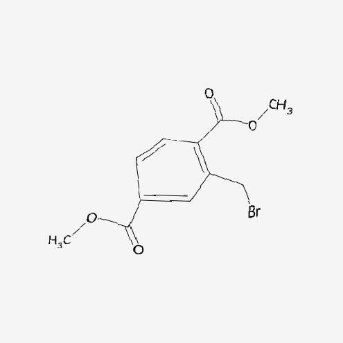 COC(=O)c1ccc(C(=O)OC)c(CBr)c1